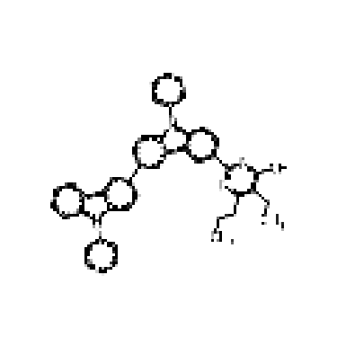 CCCc1nc(-c2ccc3c(c2)c2cc(-c4ccc5c(c4)c4ccccc4n5-c4ccccc4)ccc2n3-c2ccccc2)nc(C)c1CC